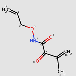 C=CCONC(=O)C(=O)C(=C)C